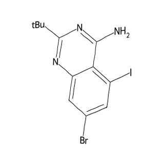 CC(C)(C)c1nc(N)c2c(I)cc(Br)cc2n1